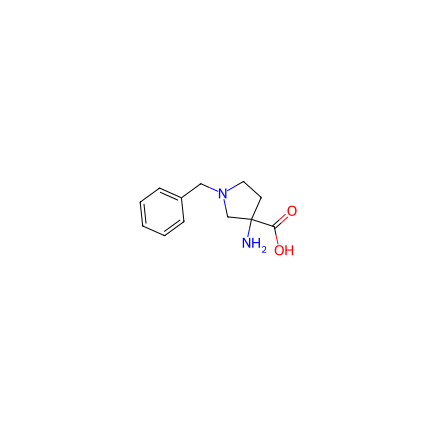 NC1(C(=O)O)CCN(Cc2ccccc2)C1